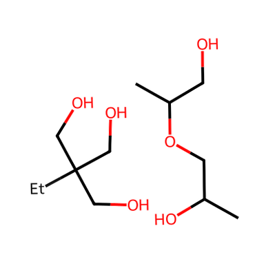 CC(O)COC(C)CO.CCC(CO)(CO)CO